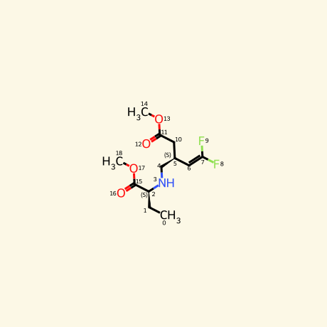 CC[C@H](NC[C@H](C=C(F)F)CC(=O)OC)C(=O)OC